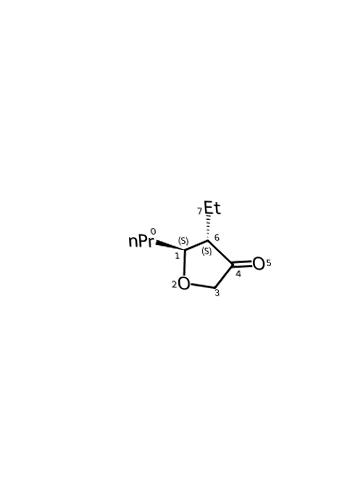 CCC[C@@H]1OCC(=O)[C@H]1CC